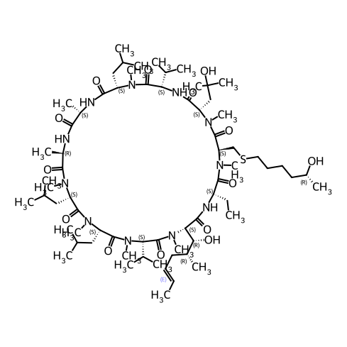 C/C=C/C[C@@H](C)[C@@H](O)[C@H]1C(=O)N[C@@H](CC)C(=O)N(C)[C@H](CSCCCC[C@@H](C)O)C(=O)N(C)[C@@H](CC(C)(C)O)C(=O)N[C@@H](C(C)C)C(=O)N(C)[C@@H](CC(C)C)C(=O)N[C@@H](C)C(=O)N[C@H](C)C(=O)N(C)[C@@H](CC(C)C)C(=O)N(C)[C@@H](CC(C)C)C(=O)N(C)[C@@H](C(C)C)C(=O)N1C